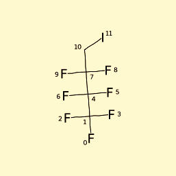 FC(F)(F)C(F)(F)C(F)(F)CI